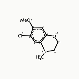 COc1cc2c(cc1Cl)N(C)CCO2